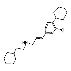 Clc1cc(C=CCNCCC2CCCCC2)ccc1C1CCCCC1